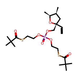 C=C[C@@]1(COP(=O)(OCCSC(=O)C(C)(C)C)OCCSC(=O)C(C)(C)C)C[C@H](C)[C@H](C)O1